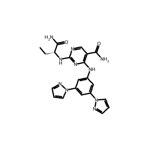 CC[C@@H](Nc1ncc(C(N)=O)c(Nc2cc(-n3cccn3)cc(-n3cccn3)c2)n1)C(N)=O